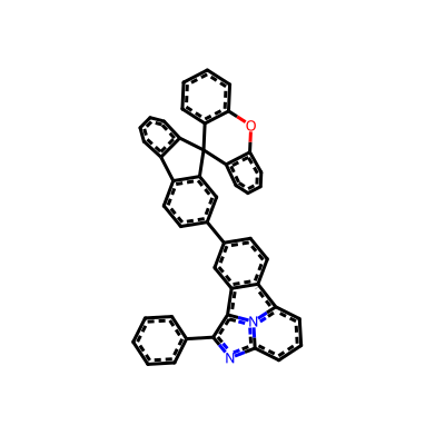 c1ccc(-c2nc3cccc4c5ccc(-c6ccc7c(c6)C6(c8ccccc8Oc8ccccc86)c6ccccc6-7)cc5c2n34)cc1